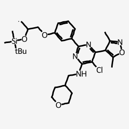 [CH2]C(COc1cccc(-c2nc(NCC3CCOCC3)c(Cl)c(-c3c(C)noc3C)n2)c1)O[Si](C)(C)C(C)(C)C